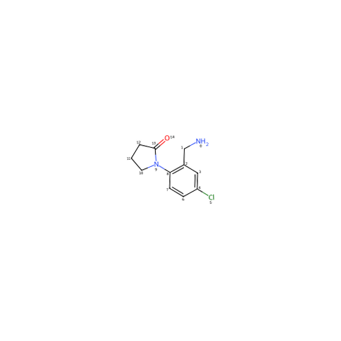 NCc1cc(Cl)ccc1N1CCCC1=O